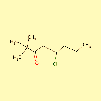 CCCC(Cl)CC(=O)C(C)(C)C